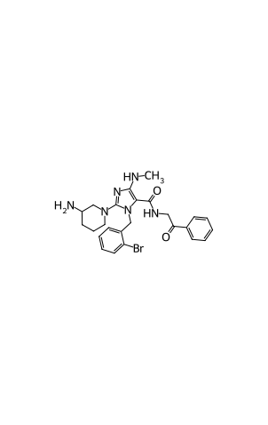 CNc1nc(N2CCCC(N)C2)n(Cc2ccccc2Br)c1C(=O)NCC(=O)c1ccccc1